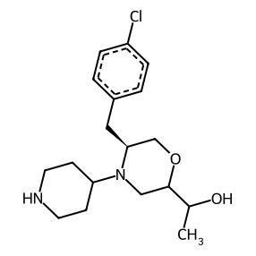 CC(O)C1CN(C2CCNCC2)[C@@H](Cc2ccc(Cl)cc2)CO1